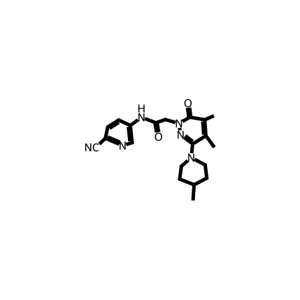 Cc1c(N2CCC(C)CC2)nn(CC(=O)Nc2ccc(C#N)nc2)c(=O)c1C